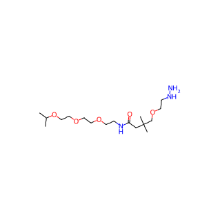 CC(C)OCCOCCOCCNC(=O)CC(C)(C)COCCNN